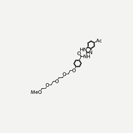 COCCOCCOCCOCCOc1ccc(C(=O)Nc2nc3cc(C(C)=O)ccc3[nH]2)cc1